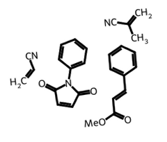 C=C(C)C#N.C=CC#N.COC(=O)/C=C/c1ccccc1.O=C1C=CC(=O)N1c1ccccc1